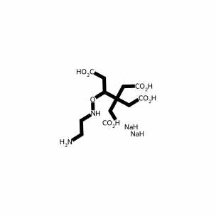 NCCNOC(CC(=O)O)C(CC(=O)O)(CC(=O)O)CC(=O)O.[NaH].[NaH]